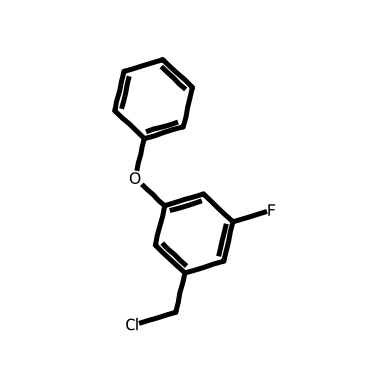 Fc1cc(CCl)cc(Oc2ccccc2)c1